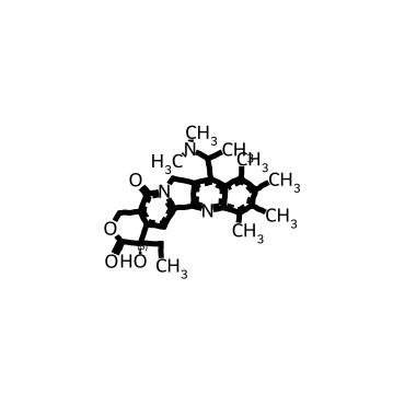 CC[C@@]1(O)C(=O)OCc2c1cc1n(c2=O)Cc2c-1nc1c(C)c(C)c(C)c(C)c1c2C(C)N(C)C